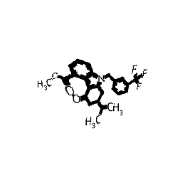 COC(=O)c1cccc2c1c1c(n2Cc2cccc(C(F)(F)F)c2)CC(C(C)C)CC1=O